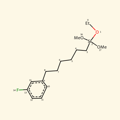 CCO[Si](CCCCCCc1cccc(F)c1)(OC)OC